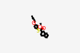 CC#CCOc1ccc(SC(C(=O)OCC)c2ccc3ccccc3c2)cc1